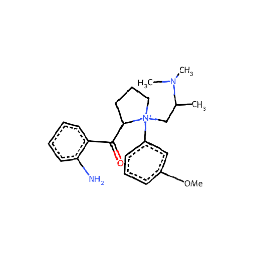 COc1cccc([N+]2(CC(C)N(C)C)CCCC2C(=O)c2ccccc2N)c1